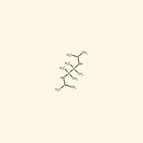 CN(C)N[Si](C)(C)[Si](C)(C)NN(C)C